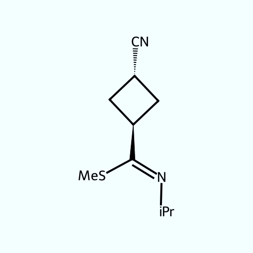 CS/C(=N\C(C)C)[C@H]1C[C@H](C#N)C1